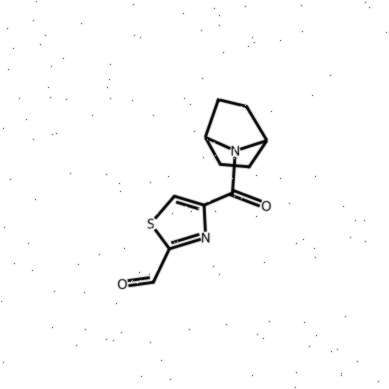 O=Cc1nc(C(=O)N2C3CCC2CC3)cs1